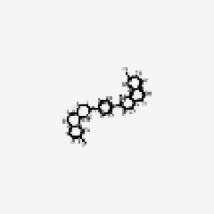 Cc1ccc2ccc3ccc(-c4ccc(-c5ccc6ccc7ccc(C)cc7c6n5)cc4)nc3c2c1